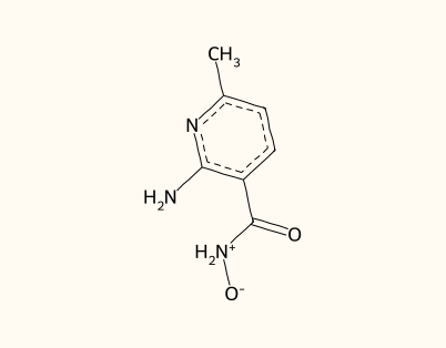 Cc1ccc(C(=O)[NH2+][O-])c(N)n1